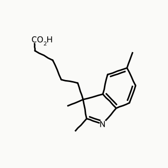 CC1=Nc2ccc(C)cc2C1(C)CCCCC(=O)O